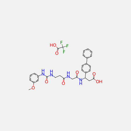 COc1cccc(NC(=O)NCCC(=O)NCC(=O)NC(CC(=O)O)c2ccc(-c3ccccc3)cc2)c1.O=C(O)C(F)(F)F